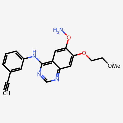 C#Cc1cccc(Nc2ncnc3cc(OCCOC)c(ON)cc23)c1